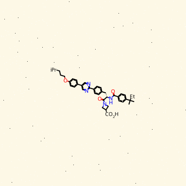 CCC(C)(C)c1ccc(C(=O)N[C@@H](Cc2ccc(-c3ncc(-c4ccc(OCCCC(C)C)cc4)cn3)cc2)C(=O)N2CC(C(=O)O)C2)cc1